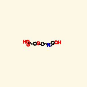 O=C(O)CCc1ccc(OCc2ccc(CCN3CCc4cc(O)ccc4C3)cc2)cc1